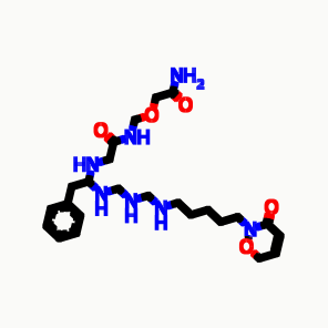 NC(=O)COCNC(=O)CNC(Cc1ccccc1)NCNCNCCCCCN1OCC=CC1=O